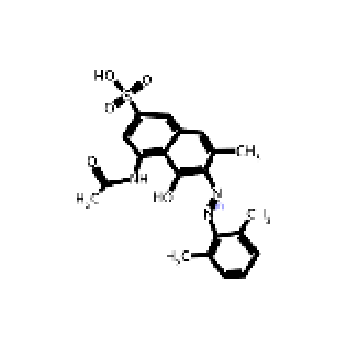 CC(=O)Nc1cc(S(=O)(=O)O)cc2cc(C)c(/N=N/c3c(C)cccc3C)c(O)c12